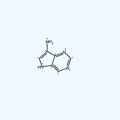 Nc1c[nH]c2cncnc12